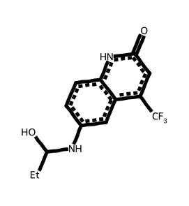 CCC(O)Nc1ccc2[nH]c(=O)cc(C(F)(F)F)c2c1